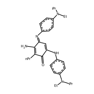 CCCC1=C(N)C(=Nc2ccc(N(CC)C(C)C)cc2)C=C(Nc2ccc(N(CC)C(C)C)cc2)C1=O